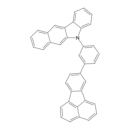 c1cc(-c2ccc3c(c2)-c2cccc4cccc-3c24)cc(-n2c3ccccc3c3cc4ccccc4cc32)c1